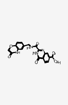 O=C1COc2ccc(CNC(=O)c3nc4cc(C(=O)O)ccc4c(=O)[nH]3)cc2N1